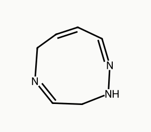 C1=C\C/N=C\CN\N=C/1